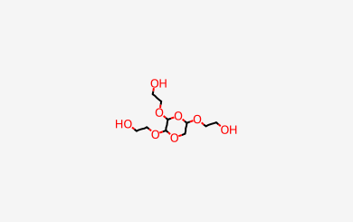 OCCOC1COC(OCCO)C(OCCO)O1